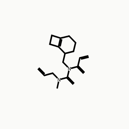 C=CCN(C)C(=C)N(CC1CCCC2=C1CC2)C(=C)C=C